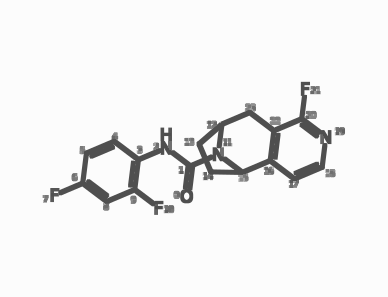 O=C(Nc1ccc(F)cc1F)N1C2CCC1c1ccnc(F)c1C2